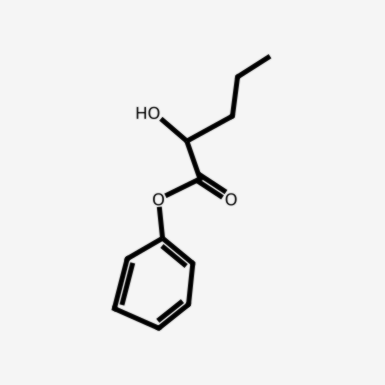 CCCC(O)C(=O)Oc1ccccc1